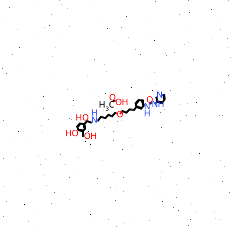 CC(=O)O.O=C(Nc1cccnc1)Nc1cccc(CCCCOCCCCCCNC[C@H](O)c2ccc(O)c(CO)c2)c1